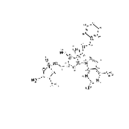 CCOP(=O)(OCC)OC[C@H]1O[C@@H](n2cnc3c(N)nc(Cl)nc32)[C@](C)(COCc2ccccc2)[C@@H]1O